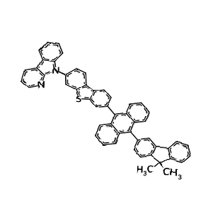 CC1(C)c2ccccc2-c2cc(-c3c4ccccc4c(-c4ccc5c(c4)sc4cc(-n6c7ccccc7c7cccnc76)ccc45)c4ccccc34)ccc21